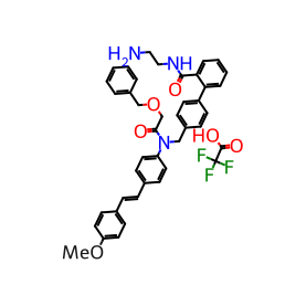 COc1ccc(C=Cc2ccc(N(Cc3ccc(-c4ccccc4C(=O)NCCN)cc3)C(=O)COCc3ccccc3)cc2)cc1.O=C(O)C(F)(F)F